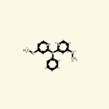 COc1ccnc(P(c2ccccc2)c2cc(OC)ccn2)c1